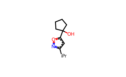 CC(C)c1cc(C2(O)CCCC2)on1